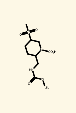 CC(C)(C)OC(=O)NCC1CCC(S(C)(=O)=O)CN1C(=O)O